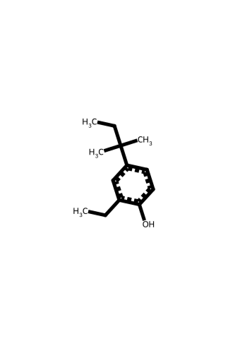 CCc1cc(C(C)(C)CC)ccc1O